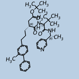 Cc1cc(CCC[C@H](CC(=O)OC(C)(C)C)C(=O)N[C@H](C(=O)N[C@H](C)c2cccnc2)C(C)(C)C)ccc1-c1ccccc1